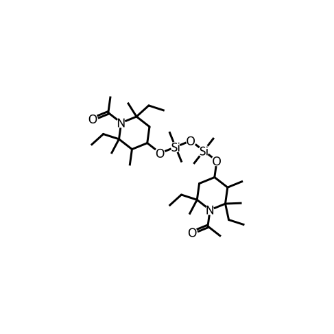 CCC1(C)CC(O[Si](C)(C)O[Si](C)(C)OC2CC(C)(CC)N(C(C)=O)C(C)(CC)C2C)C(C)C(C)(CC)N1C(C)=O